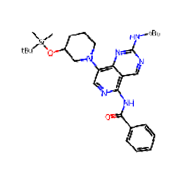 CC(C)(C)Nc1ncc2c(NC(=O)c3ccccc3)ncc(N3CCCC(O[Si](C)(C)C(C)(C)C)C3)c2n1